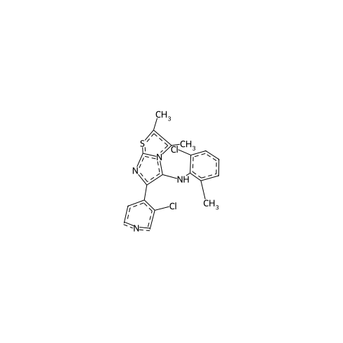 Cc1cccc(Cl)c1Nc1c(-c2ccncc2Cl)nc2sc(C)c(C)n12